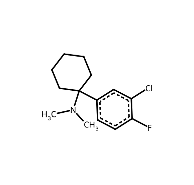 CN(C)C1(c2ccc(F)c(Cl)c2)CCCCC1